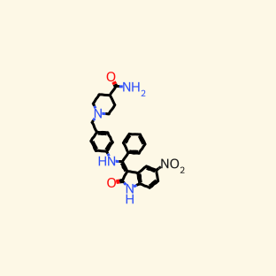 NC(=O)C1CCN(Cc2ccc(N/C(=C3\C(=O)Nc4ccc([N+](=O)[O-])cc43)c3ccccc3)cc2)CC1